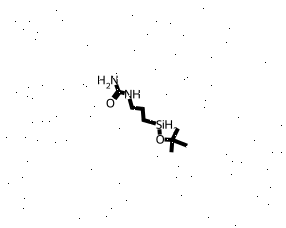 CC(C)(C)O[SiH2]CCCNC(N)=O